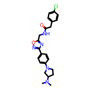 CN(C)C1CCN(c2ccc(-c3noc(CNC(=O)Cc4ccc(Cl)cc4)n3)cc2)C1